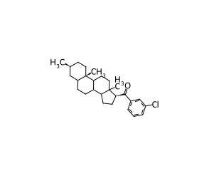 C[C@H]1CC[C@@]2(C)C(CCC3C4CC[C@H](C(=O)c5cccc(Cl)c5)C4(C)CCC32)C1